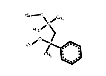 CC(C)O[Si](C)(C[Si](C)(C)OC(C)(C)C)c1ccccc1